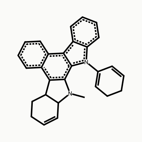 CN1c2c(c3ccccc3c3c4ccccc4n(C4=CCCC=C4)c23)C2CCC=CC21